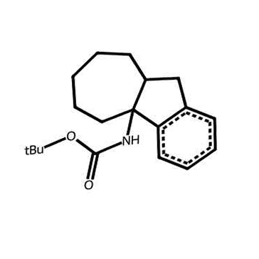 CC(C)(C)OC(=O)NC12CCCCCC1Cc1ccccc12